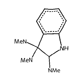 CNC1Nc2ccccc2C1(NC)NC